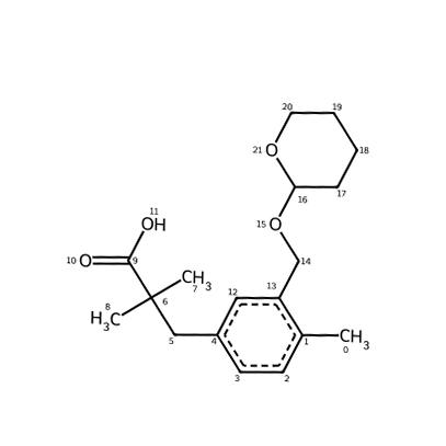 Cc1ccc(CC(C)(C)C(=O)O)cc1COC1CCCCO1